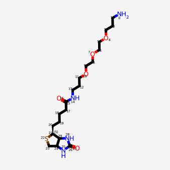 NCCCOCCOCCOCCCNC(=O)CCCC[C@@H]1SCC2NC(=O)NC21